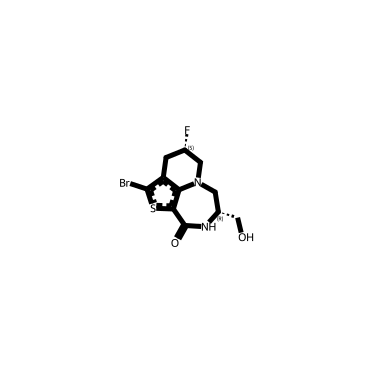 O=C1N[C@@H](CO)CN2C[C@@H](F)Cc3c(Br)sc1c32